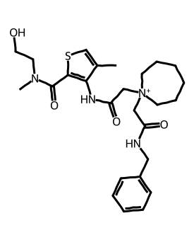 Cc1csc(C(=O)N(C)CCO)c1NC(=O)C[N+]1(CC(=O)NCc2ccccc2)CCCCCC1